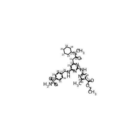 CCOC(=O)c1sc(Nc2nc(CC(=O)N(C)C3CCCCC3)cc(NCc3ccc(S(N)(=O)=O)cc3)n2)nc1C